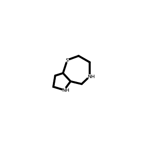 C1CSC2CCNC2CN1